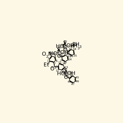 CCc1cc([N+](=O)[O-])ccc1C(=O)c1ccccc1.OP(O)(=S)Oc1ccccc1.OP(O)(=S)Oc1ccccc1.OP(O)(=S)Oc1ccccc1.P.P